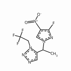 CC(c1cnnn1CC(F)(F)F)n1cc([N+](=O)[O-])c(F)n1